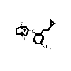 CN1[C@@H]2CC[C@H]1C[C@@H](Oc1ccc(N)cc1CCC1CC1)C2